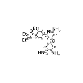 CCc1cc(-c2cc(Oc3ccc(C=N)c(N)c3)cc(N)n2)ccc1C(=O)NC(CC)CC